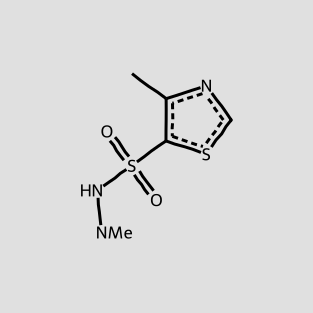 CNNS(=O)(=O)c1scnc1C